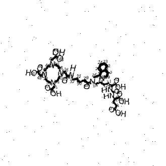 O=C(O)CCC(NC(=O)N[C@@H](CCCCN(Cc1nccc2ccccc12)C(=O)CCCCNC(=O)CN1CCN(CC(=O)O)CCN(CC(=O)O)CCN(CC(=O)O)CC1)C(=O)O)C(=O)O